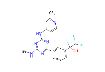 CC(C)Nc1nc(Nc2ccnc(C(F)(F)F)c2)nc(-c2cccc(C(O)(F)C(F)F)c2)n1